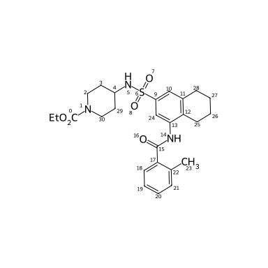 CCOC(=O)N1CCC(NS(=O)(=O)c2cc3c(c(NC(=O)c4ccccc4C)c2)CCCC3)CC1